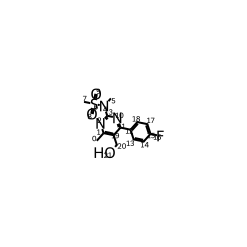 Cc1nc(N(C)S(C)(=O)=O)nc(-c2ccc(F)cc2)c1CO